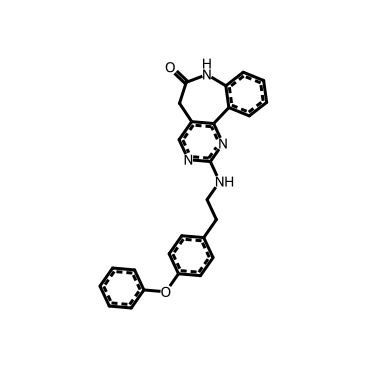 O=C1Cc2cnc(NCCc3ccc(Oc4ccccc4)cc3)nc2-c2ccccc2N1